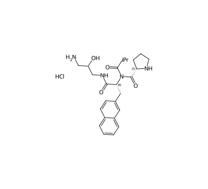 CC(C)C(=O)N(C(=O)[C@@H]1CCCN1)[C@H](Cc1ccc2ccccc2c1)C(=O)NCC(O)CN.Cl